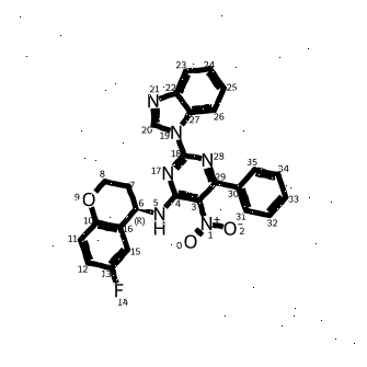 O=[N+]([O-])c1c(N[C@@H]2CCOc3ccc(F)cc32)nc(-n2cnc3ccccc32)nc1-c1ccccc1